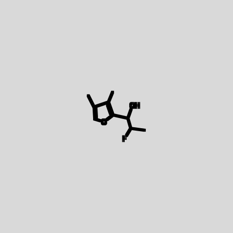 Cc1coc(C(O)C(C)F)c1C